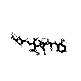 CNc1nnc(SCC2=C(C(=O)O)N3C(=O)C(NC(=O)Cc4ccccc4N)[C@@H]3SC2)s1